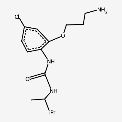 CC(C)C(C)NC(=O)Nc1ccc(Cl)cc1OCCCN